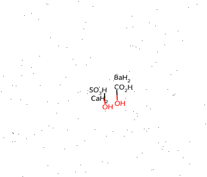 O=C(O)O.O=S(=O)(O)O.[BaH2].[CaH2]